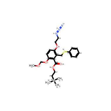 COCOc1ccc(OCCN=[N+]=[N-])c(CSc2ccccc2)c1C(=O)OCC[Si](C)(C)C